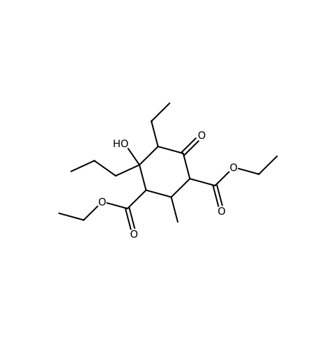 CCCC1(O)C(CC)C(=O)C(C(=O)OCC)C(C)C1C(=O)OCC